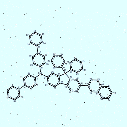 c1ccc(-c2ccc(N(c3ccc(-c4ccccc4)cc3)c3ccc4c(c3)C(c3ccccc3)(c3ccccc3)c3cc(-c5ccc6ccccc6c5)ccc3-4)cc2)cc1